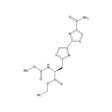 CC(C)(C)OC(=O)N[C@@H](Cc1nc(-c2nc(C(N)=O)cs2)cs1)C(=O)OCC#N